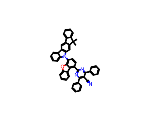 CC1(C)c2ccccc2-c2cc3c4ccccc4n(-c4ccc(-c5nc(-c6ccccc6)c(C#N)c(-c6ccccc6)n5)c5c4oc4ccccc45)c3cc21